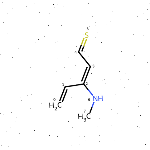 C=C/C(=C\C=S)NC